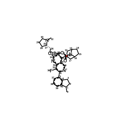 CC1CCc2c(-c3ncc4c(N5CC6CCC(C5)N6C(=O)OC(C)(C)C)nc(OC[C@@H]5CCCN5C)nc4c3F)cccc21